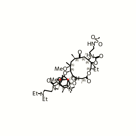 CC[C@H]1OC(=O)[C@H](C)[C@@H](O[C@H]2C[C@@](C)(OC)[C@@]3(CN(CCN(CC)CC)C(=O)O3)[C@H](C)O2)[C@H](C)[C@@H](O[C@@H]2O[C@H](C)C[C@H](N(C)C)[C@H]2O)[C@@](C)(OC)C[C@@H](C)C(=O)[C@H](C)[C@H]2N(CCNS(C)(=O)=O)C(=O)O[C@]12C